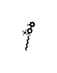 CCCCCCCCOC1(OC(F)(F)F)C=CC(c2ccccc2F)=CC1